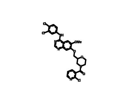 COc1cc2c(Nc3ccc(Cl)c(Cl)c3)ncnc2cc1OCC1CN(C(=O)c2cccnc2Cl)CCO1